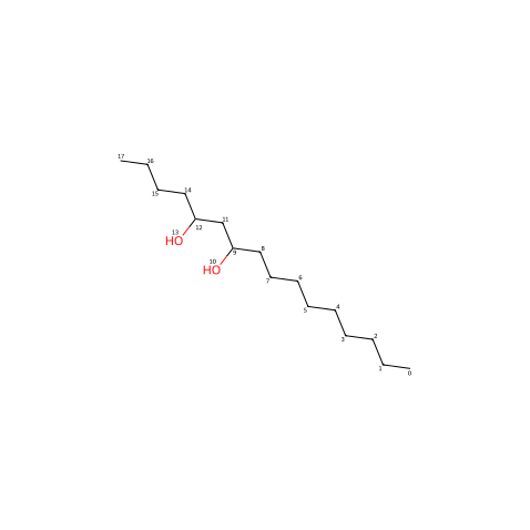 CCCCCCCCCC(O)CC(O)CCCC